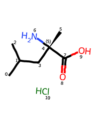 CC(C)C[C@](C)(N)C(=O)O.Cl